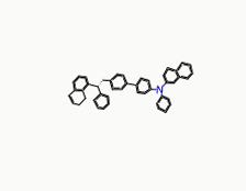 C1=Cc2cccc([C@H](Cc3ccc(-c4ccc(N(c5ccccc5)c5ccc6ccccc6c5)cc4)cc3)c3ccccc3)c2CC1